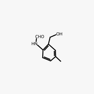 Cc1ccc(NC=O)c(CO)c1